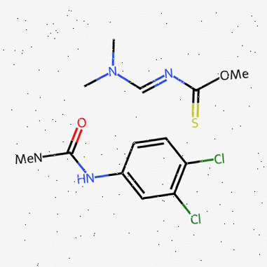 CNC(=O)Nc1ccc(Cl)c(Cl)c1.COC(=S)N=CN(C)C